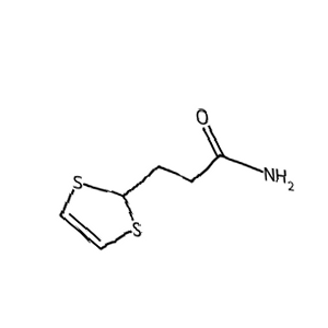 NC(=O)CCC1SC=CS1